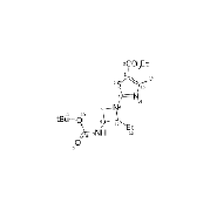 CCOC(=O)c1sc(N2CC(NC(=O)OC(C)(C)C)C2CC)nc1C